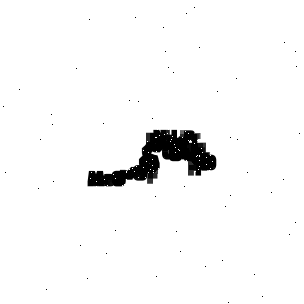 COCCCOc1cc(CC(C[C@H](N)C(O)C[C@H](C(=O)NCC2[C@H]3COC[C@@H]23)C(C)C)C(C)C)ccc1F